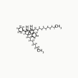 CCCCCCCCCCCC(NC(=O)NC(CCCCCCCCCCC)c1ccccc1)c1ccccc1